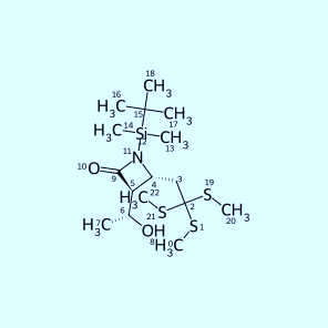 CSC(C[C@@H]1[C@@H]([C@@H](C)O)C(=O)N1[Si](C)(C)C(C)(C)C)(SC)SC